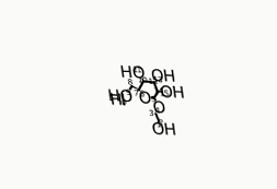 I.OCCOC1O[C@@H](CO)[C@@H](O)[C@@H](O)[C@@H]1O